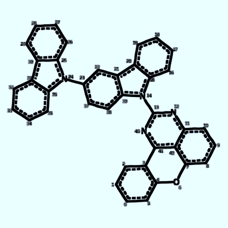 c1ccc2c(c1)Oc1cccc3nc(-n4c5ccccc5c5cc(-n6c7ccccc7c7ccccc76)ccc54)nc-2c13